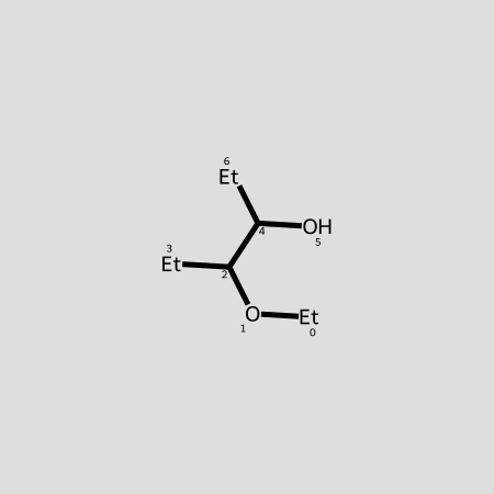 CCOC(CC)C(O)CC